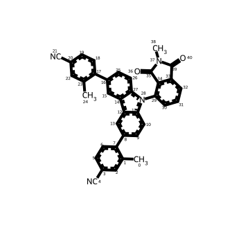 Cc1cc(C#N)ccc1-c1ccc2c(c1)c1cc(-c3ccc(C#N)cc3C)ccc1n2-c1cccc2c1C(=O)N(C)C2=O